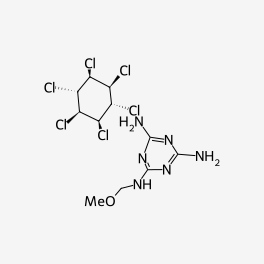 COCNc1nc(N)nc(N)n1.Cl[C@H]1[C@H](Cl)[C@@H](Cl)[C@@H](Cl)[C@H](Cl)[C@H]1Cl